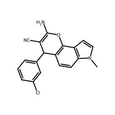 Cn1ccc2c3c(ccc21)C(c1cccc(Cl)c1)C(C#N)=C(N)O3